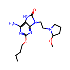 CCCCOc1nc(N)c2[nH]c(=O)n(CCN3CCCC3OC)c2n1